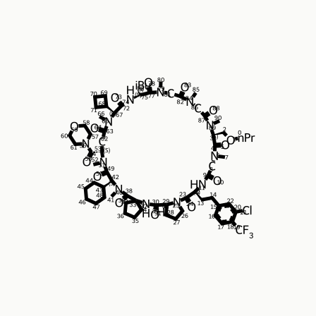 CCCOC[C@H]1C(=O)N(C)CC(=O)N[C@@H](CCc2ccc(C(F)(F)F)c(Cl)c2)C(=O)N2CCC[C@H]2C(=O)NC2(CCCC2)C(=O)N(C)[C@@H](C2CCCCC2)C(=O)N(C)[C@H](C(=O)N2CCOCC2)CC(=O)N(C)[C@@H](C2CCC2)C(=O)N[C@@H]([C@@H](C)CC)C(=O)N(C)CC(=O)N(C)CC(=O)N1C